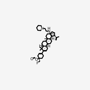 C=C(C)[C@@H]1CC[C@]2(NCCN3CCCCC3)CC[C@]3(C)[C@H](CC[C@@H]4[C@@]5(C)CC=C(C6=CC[C@@](CF)(OC=O)CC6)C(C)(C)[C@@H]5CC[C@]43C)[C@@H]12